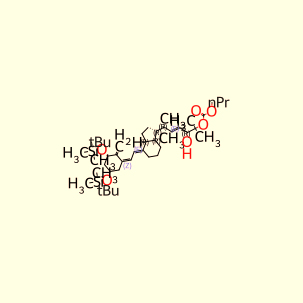 C=C1/C(=C\C=C2/CCC[C@]3(C)[C@@H]([C@H](C)/C=C/[C@@H](O)C(C)(C)OC(=O)OCCC)CC[C@@H]23)CC(O[Si](C)(C)C(C)(C)C)CC1O[Si](C)(C)C(C)(C)C